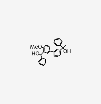 COc1ccc(-c2cccc(C(C)(O)c3ccccc3)c2)cc1C(O)c1ccccc1